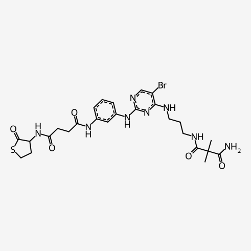 CC(C)(C(N)=O)C(=O)NCCCNc1nc(Nc2cccc(NC(=O)CCC(=O)NC3CCSC3=O)c2)ncc1Br